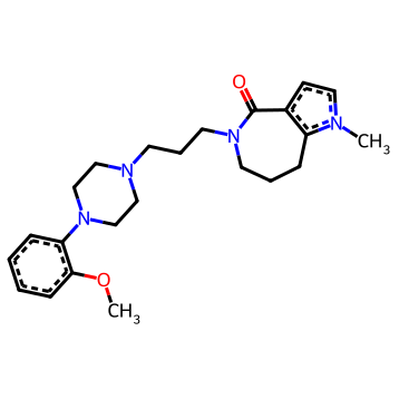 COc1ccccc1N1CCN(CCCN2CCCc3c(ccn3C)C2=O)CC1